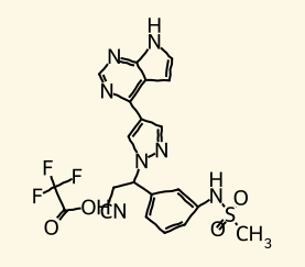 CS(=O)(=O)Nc1cccc(C(CC#N)n2cc(-c3ncnc4[nH]ccc34)cn2)c1.O=C(O)C(F)(F)F